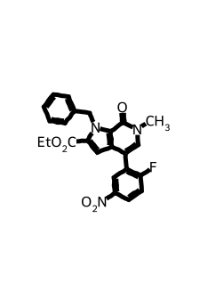 CCOC(=O)c1cc2c(-c3cc([N+](=O)[O-])ccc3F)cn(C)c(=O)c2n1Cc1ccccc1